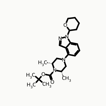 C[C@@H]1CN(c2cccc3c2cnn3C2CCCCO2)C[C@H](C)N1C(=O)OC(C)(C)C